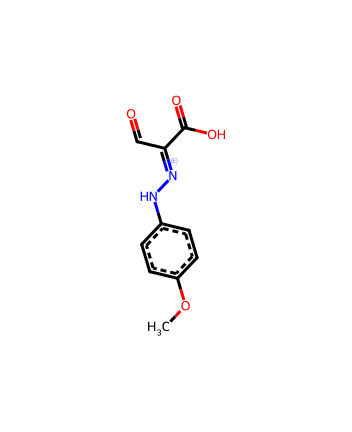 COc1ccc(N/N=C(\C=O)C(=O)O)cc1